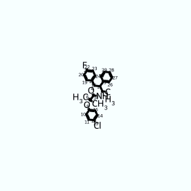 CC(NC(=O)C(C)(C)Oc1ccc(Cl)cc1)C(Cc1ccc(F)cc1)c1ccccc1